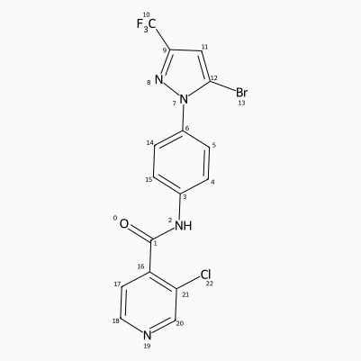 O=C(Nc1ccc(-n2nc(C(F)(F)F)cc2Br)cc1)c1ccncc1Cl